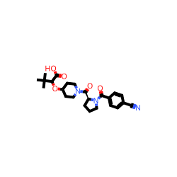 CC(C)(C)C(OC1CCN(C(=O)[C@@H]2CCCN2C(=O)c2ccc(C#N)cc2)CC1)C(=O)O